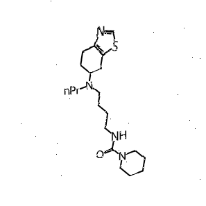 CCCN(CCCCNC(=O)N1CCCCC1)C1CCc2ncsc2C1